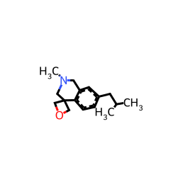 CC(C)Cc1ccc2c(c1)CN(C)CC21COC1